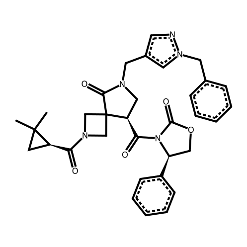 CC1(C)C[C@@H]1C(=O)N1CC2(C1)C(=O)N(Cc1cnn(Cc3ccccc3)c1)C[C@H]2C(=O)N1C(=O)OC[C@H]1c1ccccc1